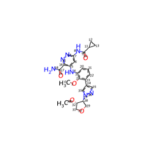 COc1c(Nc2cc(NC(=O)C3CC3)nnc2C(N)=O)cccc1-c1cnn([C@H]2COC[C@@H]2OC)c1